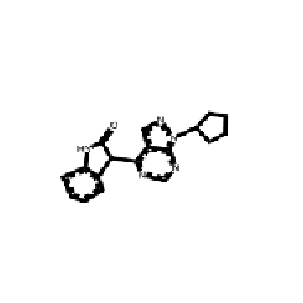 O=C1Nc2ccccc2C1c1ncnc2c1cnn2C1CCCC1